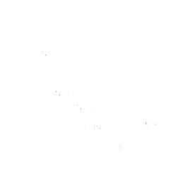 COC(=O)[C@@H](NC(=O)n1c(=O)n(CCN2CCOCC2)c2ccccc21)C(C)(C)C